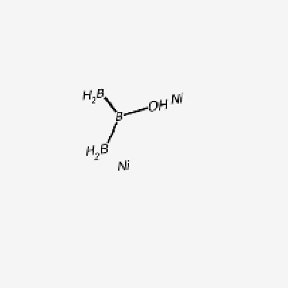 BB(B)O.[Ni].[Ni]